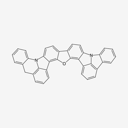 c1ccc2c(c1)Cc1cccc3c4c5oc6c(ccc7c6c6cccc8c9ccccc9n7c86)c5ccc4n-2c13